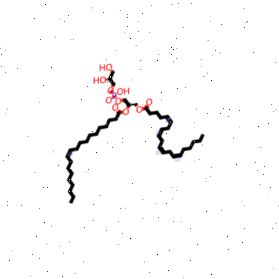 CCCCC/C=C\C/C=C\C/C=C\C/C=C\CCCC(=O)OC[C@H](COP(=O)(O)OC[C@@H](O)CO)OC(=O)CCCCCCCCC/C=C\CCCCCCCC